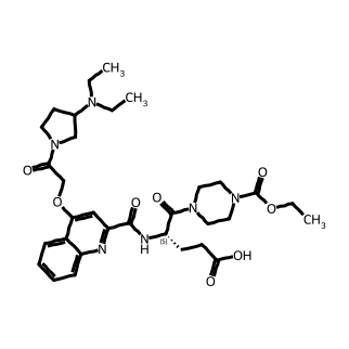 CCOC(=O)N1CCN(C(=O)[C@H](CCC(=O)O)NC(=O)c2cc(OCC(=O)N3CCC(N(CC)CC)C3)c3ccccc3n2)CC1